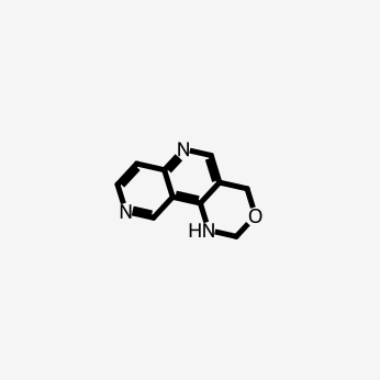 c1cc2ncc3c(c2cn1)NCOC3